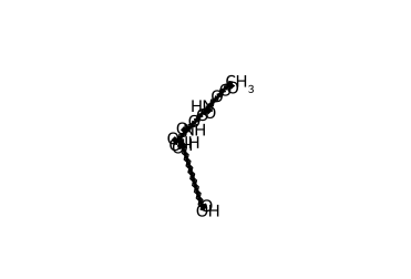 CC(=O)COCCOCCCNC(=O)COCCOCCNC(=O)CCC(NC(=O)CCCCCCCCCCCCCCCCCCC(=O)O)C(=O)O